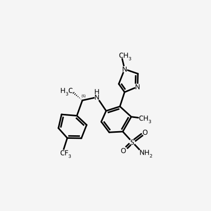 Cc1c(S(N)(=O)=O)ccc(N[C@@H](C)c2ccc(C(F)(F)F)cc2)c1-c1cn(C)cn1